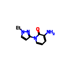 CCn1ccc(-n2cccc(N)c2=O)n1